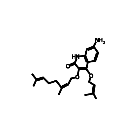 CC(C)=CCCC(C)=CCOc1c(OCC=C(C)C)c2ccc(N)cc2[nH]c1=O